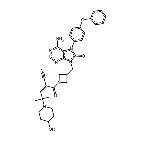 CC(C)(/C=C(/C#N)C(=O)N1CC(Cn2c(=O)n(-c3ccc(Oc4ccccc4)cc3)c3c(N)ncnc32)C1)N1CCC(O)CC1